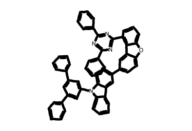 c1ccc(-c2cc(-c3ccccc3)cc(-n3c4ccccc4c4cc(-c5ccc6oc7cccc(-c8nc(-c9ccccc9)nc(-c9ccccc9)n8)c7c6c5)ccc43)c2)cc1